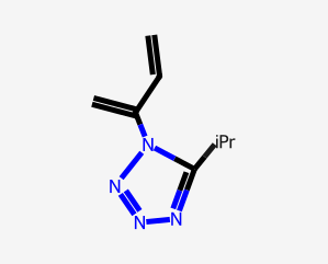 C=CC(=C)n1nnnc1C(C)C